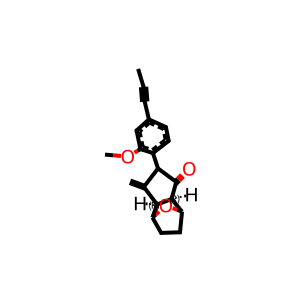 C=C1C(c2ccc(C#CC)cc2OC)C(=O)[C@H]2C3CCC(O3)[C@@H]12